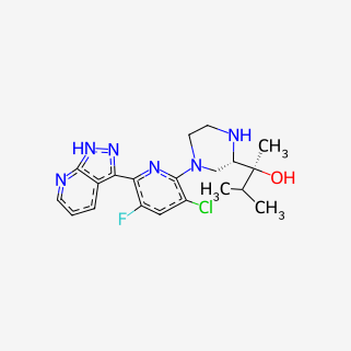 CC(C)[C@](C)(O)[C@@H]1CN(c2nc(-c3n[nH]c4ncccc34)c(F)cc2Cl)CCN1